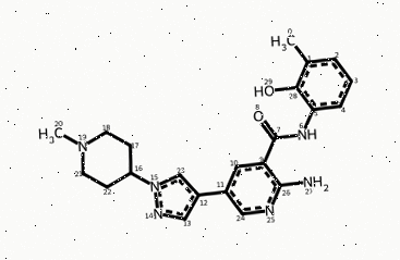 Cc1cccc(NC(=O)c2cc(-c3cnn(C4CCN(C)CC4)c3)cnc2N)c1O